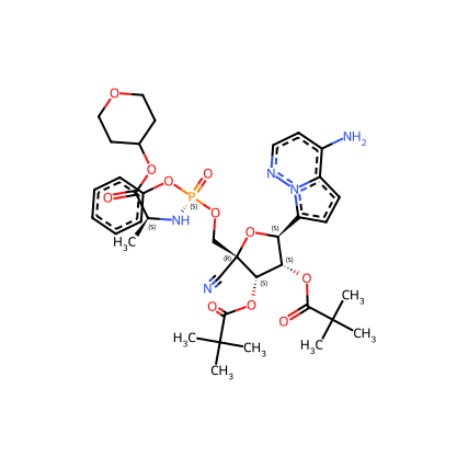 C[C@H](N[P@](=O)(OC[C@@]1(C#N)O[C@@H](c2ccc3c(N)ccnn23)[C@H](OC(=O)C(C)(C)C)[C@@H]1OC(=O)C(C)(C)C)Oc1ccccc1)C(=O)OC1CCOCC1